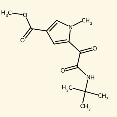 COC(=O)c1cc(C(=O)C(=O)NC(C)(C)C)n(C)c1